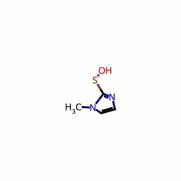 Cn1ccnc1SO